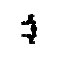 CCCCc1ccc2c(c1)c1cc(CCCC)ccc1n2-c1cccc(-c2cc3ccc4cc(-c5cccc(-n6c7ccc(CCCC)cc7c7cc(CCCC)ccc76)c5)cc5ccc(c2)c3c45)c1